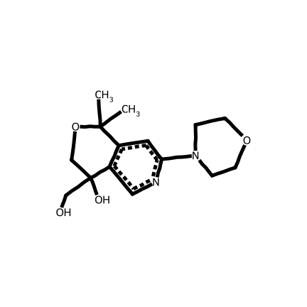 CC1(C)OCC(O)(CO)c2cnc(N3CCOCC3)cc21